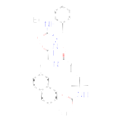 CCNC(=O)N(Cc1ccccc1)NC(=O)[C@@H](Cc1ccc2ccccc2c1)N(C)C(=O)/C=C/CC(C)(C)NC(=O)OC(C)(C)C